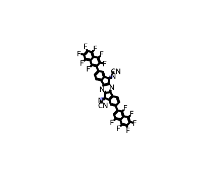 N#C/N=c1\c2cc(-c3cc(F)c4c(F)c(F)c(F)c(F)c4c3F)ccc2c2nc3/c(=N/C#N)c4cc(-c5c(F)c(F)c6c(F)c(F)c(F)c(F)c6c5F)ccc4c3nc12